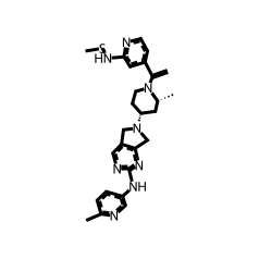 C=C(c1ccnc(NSC)c1)N1CC[C@@H](N2Cc3cnc(Nc4ccc(C)nc4)nc3C2)C[C@H]1C